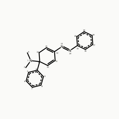 CN(C)C1(c2ccccc2)C=CC(N=Nc2ccccc2)=CC1